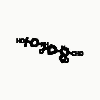 CC(C)(O)C1CCC(NC(=O)c2ccc(-c3ncc(C=O)c4occc34)cc2)CC1